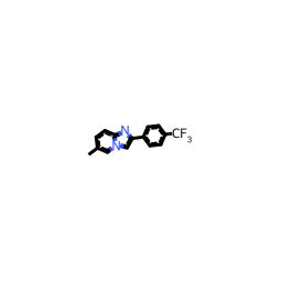 Cc1ccc2nc(-c3ccc(C(F)(F)F)cc3)cn2c1